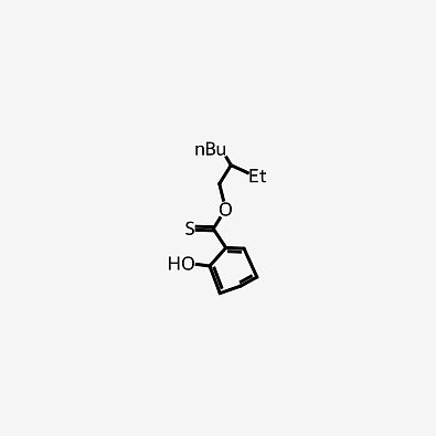 CCCCC(CC)COC(=S)c1ccccc1O